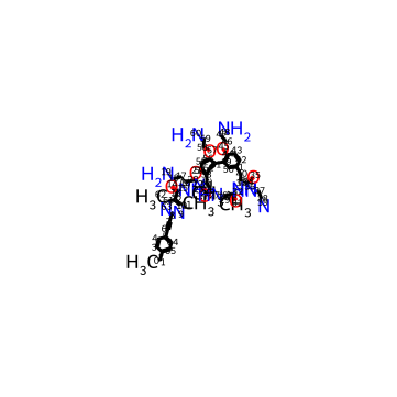 CCc1ccc(C#Cc2nc(C)c(C(=O)N[C@@H](CCN)C(=O)N(C)[C@@H]3C(=O)N[C@@H](C)C(=O)N[C@H](C(=O)NCC#N)Cc4ccc(OCCN)c(c4)-c4cc3ccc4OCCN)c(C)n2)cc1